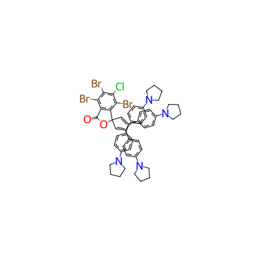 O=C1OC(C=C(c2ccc(N3CCCC3)cc2)c2ccc(N3CCCC3)cc2)(C=C(c2ccc(N3CCCC3)cc2)c2ccc(N3CCCC3)cc2)c2c(Br)c(Cl)c(Br)c(Br)c21